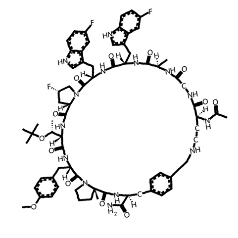 COc1ccc(C[C@@H]2NC(=O)[C@H]([C@@H](C)OC(C)(C)C)NC(=O)[C@@H]3C[C@H](F)CN3C(=O)[C@H](Cc3c[nH]c4ccc(F)cc34)NC(=O)[C@H](Cc3c[nH]c4ccc(F)cc34)NC(=O)[C@@H](C)NC(=O)CNC(=O)[C@@H](NC(C)=O)CCNCc3ccc(cc3)C[C@@H](C(N)=O)NC(=O)[C@]3(C)CCCN3C2=O)cc1